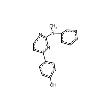 CN(c1ccccc1)c1nccc(-c2ccc(O)nc2)n1